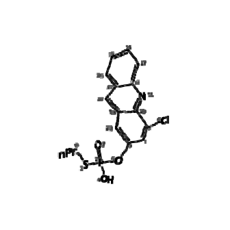 CCCSP(=O)(O)Oc1cc(Cl)c2nc3ccccc3cc2c1